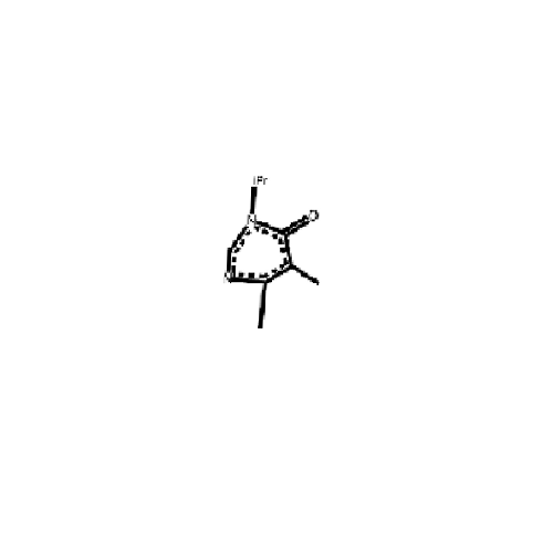 Cc1ncn(C(C)C)c(=O)c1C